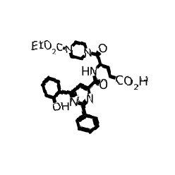 CCOC(=O)N1CCN(C(=O)C(CCC(=O)O)NC(=O)c2cc(C3CCCCC3O)nc(-c3ccccc3)n2)CC1